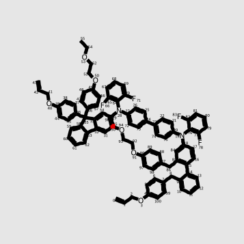 C=CCOc1ccc(Cc2ccccc2-c2ccc(N(c3ccc(-c4ccc(N(c5ccc6c(c5)C(c5ccc(OCC=C)cc5)(c5ccc(OCCOCC)cc5)c5ccccc5-6)c5c(F)cccc5F)cc4)cc3)c3c(F)cccc3F)cc2Cc2ccc(OCCOCC)cc2)cc1